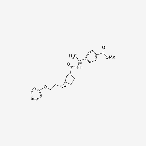 COC(=O)c1ccc([C@H](C)NC(=O)C2CCC(NCCOc3ccccc3)C2)cc1